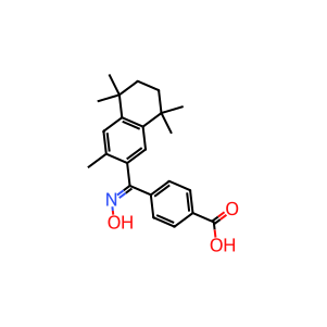 Cc1cc2c(cc1C(=NO)c1ccc(C(=O)O)cc1)C(C)(C)CCC2(C)C